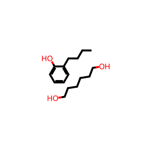 CCCCc1ccccc1O.OCCCCCCO